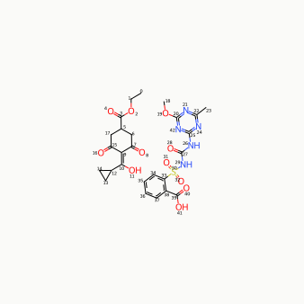 CCOC(=O)C1CC(=O)C(=C(O)C2CC2)C(=O)C1.COc1nc(C)nc(NC(=O)NS(=O)(=O)c2ccccc2C(=O)O)n1